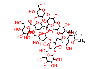 CC1C(O)[C@H](O[C@@H]2OC(CO)[C@H](O)[C@H](O)C2O)[C@H](CO)O[C@H]1OC1[C@H](OCC2O[C@@H](O[C@@H]3C(CO)O[C@@H](O[C@@H]4C(CO)O[C@@H](C)C(C)[C@H]4O)C(C)[C@H]3O)C(O)[C@@H](O[C@H]3OC(CO)[C@@H](O)C(O)C3O[C@@H]3OC(CO)[C@@H](O[C@@H]4OC(CO)[C@H](O)[C@H](O)C4O)[C@H](O)C3C)C2O)OC(CO)[C@@H](O)[C@@H]1O